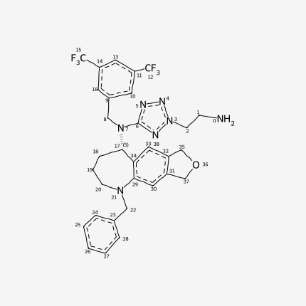 NCCn1nnc(N(Cc2cc(C(F)(F)F)cc(C(F)(F)F)c2)[C@H]2CCCN(Cc3ccccc3)c3cc4c(cc32)COC4)n1